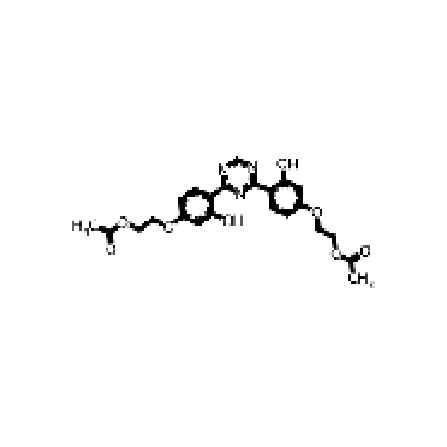 CC(=O)OCCOc1ccc(-c2ncnc(-c3ccc(OCCOC(C)=O)cc3O)n2)c(O)c1